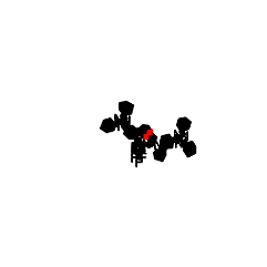 FC(F)(F)c1ccc(-n2c3ccccc3c3cc(-c4nc(-c5ccccc5)nc(-c5ccccc5)n4)ccc32)c(-c2cc(-n3c4ccccc4c4cc(-c5nc(-c6ccccc6)nc(-c6ccccc6)n5)ccc43)ccn2)c1